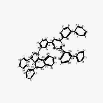 c1ccc(-c2cccc(-c3cc(-c4cccc(-n5nc(-c6ccccc6)c6c(-c7ccccc7)cc7ccccc7c65)c4)nc(-c4cccc(-c5ccccc5)c4)n3)c2)cc1